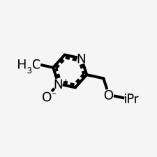 Cc1cnc(COC(C)C)c[n+]1[O-]